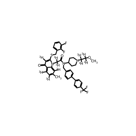 [2H]c1c(C)c([2H])c2c(c1[2H])c(=O)c([2H])c(SCc1cccc(F)c1F)n2C([2H])([2H])C(=O)N(Cc1ccc(-c2ccc(C(F)(F)F)cc2)cc1)C1CCN(C([2H])([2H])C([2H])([2H])OC)CC1